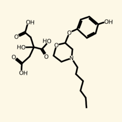 CCCCCCN1CCOC(Oc2ccc(O)cc2)C1.O=C(O)CC(O)(CC(=O)O)C(=O)O